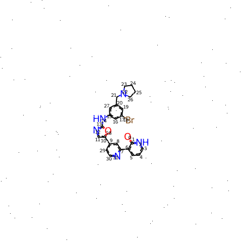 O=c1[nH]cccc1-c1cc(-c2cnc(Nc3cc(Br)cc(CN4CCCC4)c3)o2)ccn1